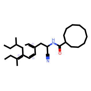 C\C=C(/C=C\C(CC(C)CC)=C(/C)CC)CC(C#N)NC(=O)C1CCCCCCCCC1